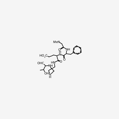 CNCC(=O)NC(Cc1ccccc1)C(=O)NC(CCC(=O)O)C(=O)NCC1(NC(C=O)C(C)O)CNC1